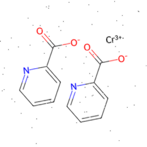 O=C([O-])c1ccccn1.O=C([O-])c1ccccn1.[Cr+3]